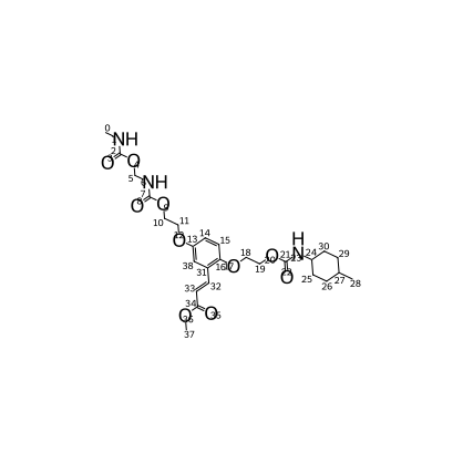 CNC(=O)OCNC(=O)OCCOc1ccc(OCCOC(=O)NC2CCC(C)CC2)c(/C=C/C(=O)OC)c1